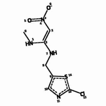 CN/C(=C\[N+](=O)[O-])NCc1cnc(Cl)s1